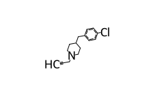 C#CCN1CCC(Cc2ccc(Cl)cc2)CC1